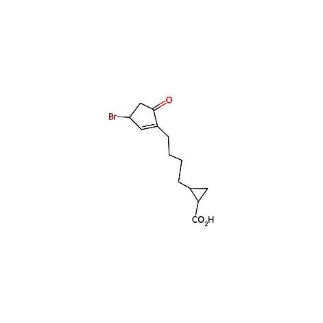 O=C1CC(Br)C=C1CCCCC1CC1C(=O)O